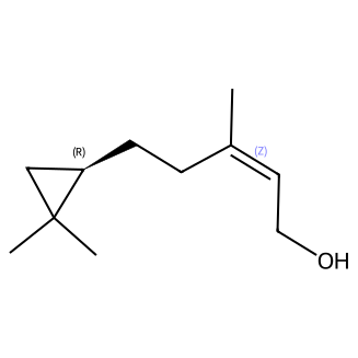 C/C(=C/CO)CC[C@@H]1CC1(C)C